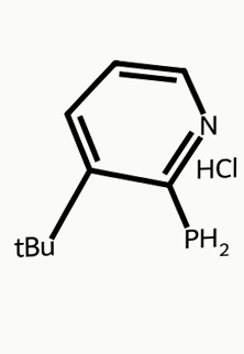 CC(C)(C)c1cccnc1P.Cl